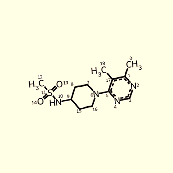 Cc1ncnc(N2CCC(NS(C)(=O)=O)CC2)c1C